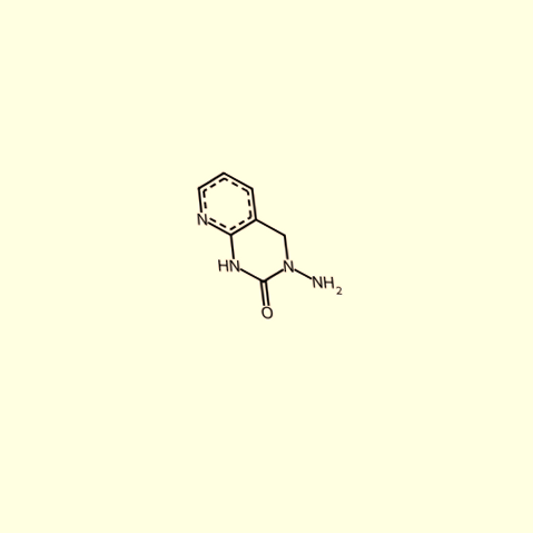 NN1Cc2cccnc2NC1=O